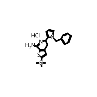 C[Si](C)(C)c1cc2c(s1)C(N)=NC(c1cccn1Cc1ccccc1)C2.Cl